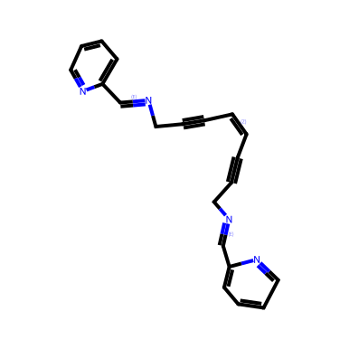 C(#CC/N=C/c1ccccn1)/C=C\C#CC/N=C/c1ccccn1